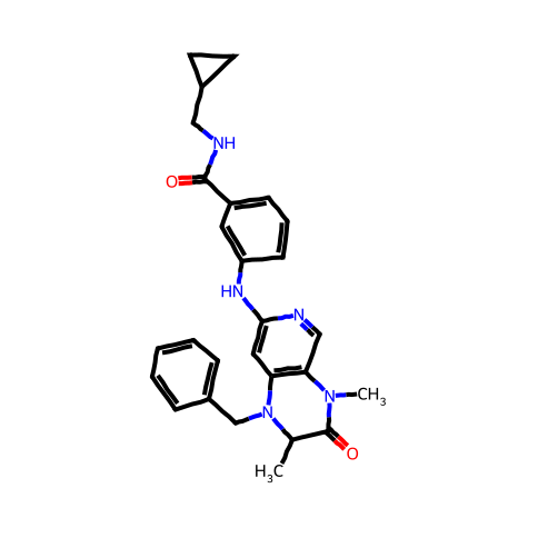 CC1C(=O)N(C)c2cnc(Nc3cccc(C(=O)NCC4CC4)c3)cc2N1Cc1ccccc1